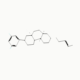 C/C=C/CC[C@@H]1CC[C@H]2[C@H](CC[C@H]3CC(c4cc(F)cc(F)c4)CC[C@@H]32)C1